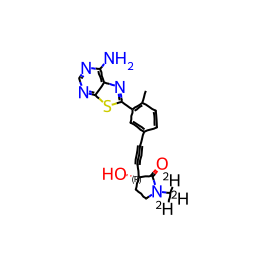 [2H]C([2H])([2H])N1CC[C@@](O)(C#Cc2ccc(C)c(-c3nc4c(N)ncnc4s3)c2)C1=O